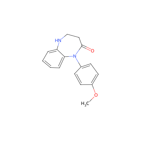 COc1ccc(N2C(=O)CCNc3ccccc32)cc1